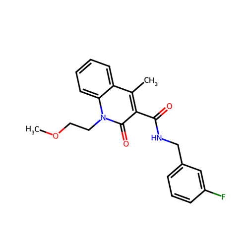 COCCn1c(=O)c(C(=O)NCc2cccc(F)c2)c(C)c2ccccc21